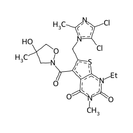 CCn1c(=O)n(C)c(=O)c2c(C(=O)N3CC(C)(O)CO3)c(Cn3c(C)nc(Cl)c3Cl)sc21